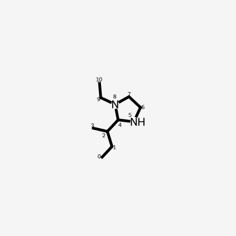 CCC(C)C1NCCN1CC